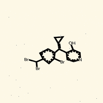 Oc1cnccc1C(=C1CC1)c1ccc(C(Br)Br)cc1Br